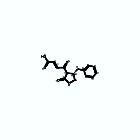 O=C(O)/C=C/C(=O)N1C(=O)OC[C@H]1Cc1ccccc1